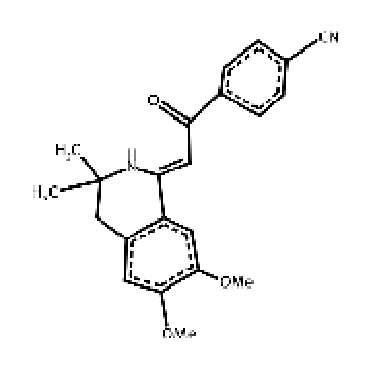 COc1cc2c(cc1OC)C(=CC(=O)c1ccc(C#N)cc1)NC(C)(C)C2